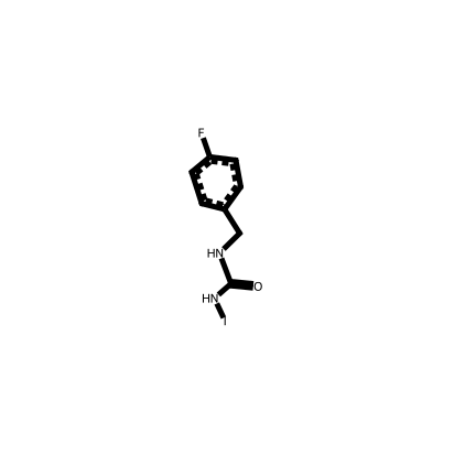 O=C(NI)NCc1ccc(F)cc1